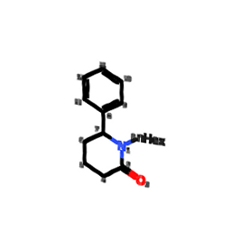 CCCCCCN1C(=O)CCCC1c1ccccc1